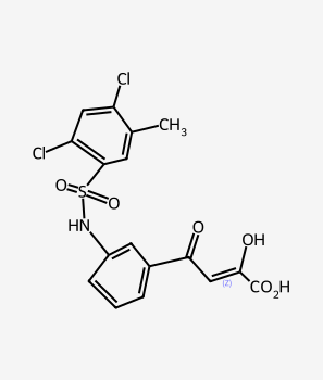 Cc1cc(S(=O)(=O)Nc2cccc(C(=O)/C=C(\O)C(=O)O)c2)c(Cl)cc1Cl